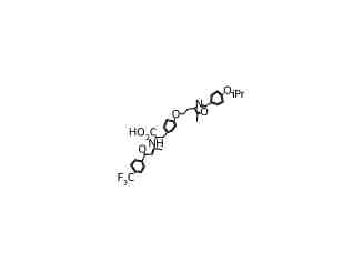 CC(=CC(=O)c1ccc(C(F)(F)F)cc1)N[C@@H](Cc1ccc(OCCc2nc(-c3ccc(OC(C)C)cc3)oc2C)cc1)C(=O)O